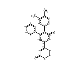 Cc1ccc(-n2c(-c3ccccc3)nc(C3=CC(=O)CCC3)cc2=O)cc1C